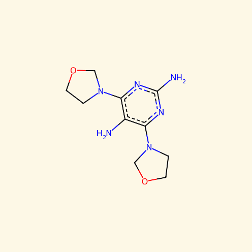 Nc1nc(N2CCOC2)c(N)c(N2CCOC2)n1